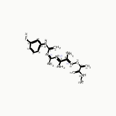 C=C(\N=C(N)/N=C(N)/C(N)=N/OC(=C)C(=O)NC(C)C)Nc1cccc(F)c1